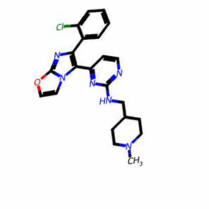 CN1CCC(CNc2nccc(-c3c(-c4ccccc4Cl)nc4occn34)n2)CC1